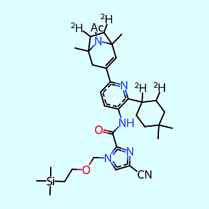 [2H]C1CC(C)(C)CCC1([2H])c1nc(C2=CC3(C)C([2H])C([2H])C(C)(C2)N3C(C)=O)ccc1NC(=O)c1nc(C#N)cn1COCC[Si](C)(C)C